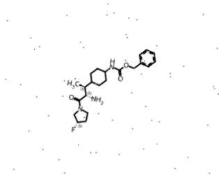 C[C@@H](C1CCC(NC(=O)OCc2ccccc2)CC1)[C@H](N)C(=O)N1CC[C@H](F)C1